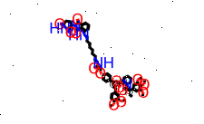 CC[C@H](C(=O)N1CCCC[C@H]1C(=O)O[C@H](CCc1ccc(OC)c(OC)c1)c1ccc(OCC(=O)NCCCCCCCCNc2cccc3c2C(=O)N(C2CCC(=O)NC2=O)C3=O)cc1)c1cc(OC)c(OC)c(OC)c1